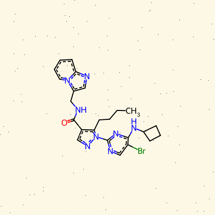 CCCCc1c(C(=O)NCc2cnc3ccccn23)cnn1-c1ncc(Br)c(NC2CCC2)n1